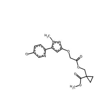 COC(=O)C1(COC(=O)COc2cc(-c3ccc(Cl)cn3)n(C)n2)CC1